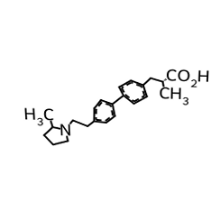 CC1CCCN1CCc1ccc(-c2ccc(C[C@@H](C)C(=O)O)cc2)cc1